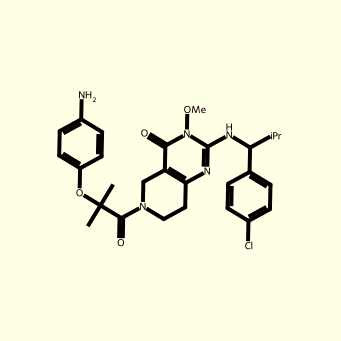 COn1c(NC(c2ccc(Cl)cc2)C(C)C)nc2c(c1=O)CN(C(=O)C(C)(C)Oc1ccc(N)cc1)CC2